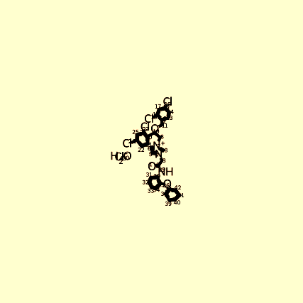 O.O=C(Cn1cc[n+](CC(OCc2ccc(Cl)cc2Cl)c2ccc(Cl)cc2Cl)c1)Nc1ccccc1Oc1ccccc1.[Cl-]